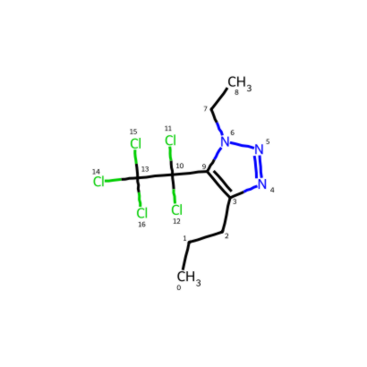 CCCc1nnn(CC)c1C(Cl)(Cl)C(Cl)(Cl)Cl